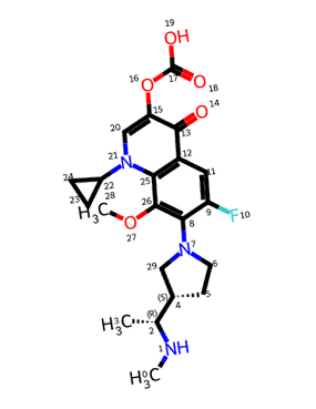 CN[C@H](C)[C@H]1CCN(c2c(F)cc3c(=O)c(OC(=O)O)cn(C4CC4)c3c2OC)C1